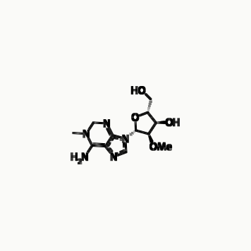 CO[C@@H]1[C@H](O)[C@@H](CO)O[C@H]1n1cnc2c1=NCN(C)C=2N